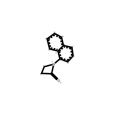 O=C1CCN1c1cccc2ccccc12